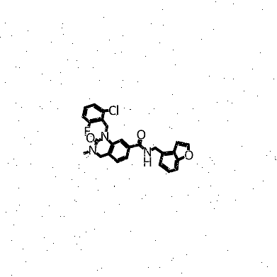 CN1Cc2ccc(C(=O)NCc3cccc4occc34)cc2N(Cc2c(F)cccc2Cl)C1=O